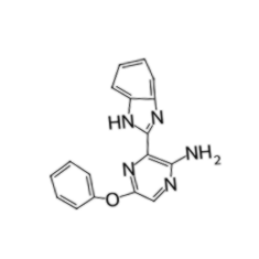 Nc1ncc(Oc2ccccc2)nc1-c1nc2ccccc2[nH]1